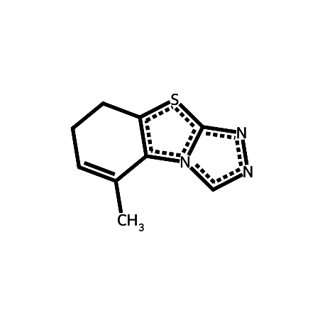 CC1=CCCc2sc3nncn3c21